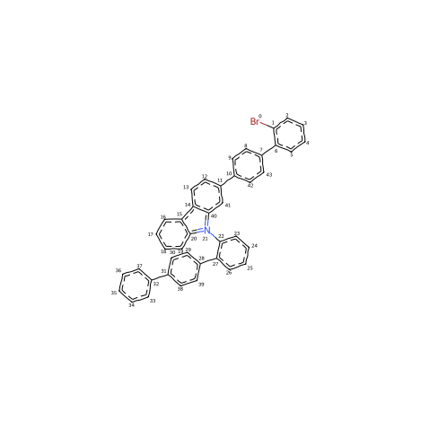 Brc1ccccc1-c1ccc(-c2ccc3c4ccccc4n(-c4ccccc4-c4ccc(-c5ccccc5)cc4)c3c2)cc1